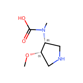 CO[C@H]1CNC[C@H]1N(C)C(=O)O